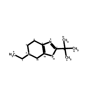 CCN1CCc2nc(C(C)(C)C)sc2C1